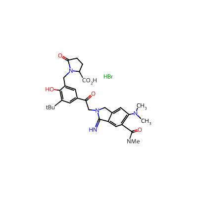 Br.CNC(=O)c1cc2c(cc1N(C)C)CN(CC(=O)c1cc(CN3C(=O)CCC3C(=O)O)c(O)c(C(C)(C)C)c1)C2=N